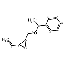 C=CC1OC1COC(C)c1ccccc1